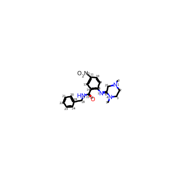 CN1CCN(C)C(=Nc2ccc([N+](=O)[O-])cc2C(=O)NCc2ccccc2)C1